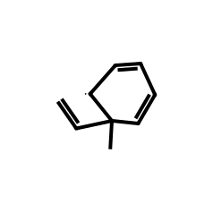 C=CC1(C)[CH]C=CC=C1